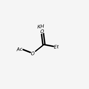 CCC(=O)OC(C)=O.[KH]